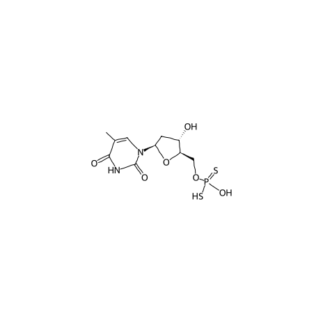 Cc1cn([C@H]2C[C@H](O)[C@@H](COP(O)(=S)S)O2)c(=O)[nH]c1=O